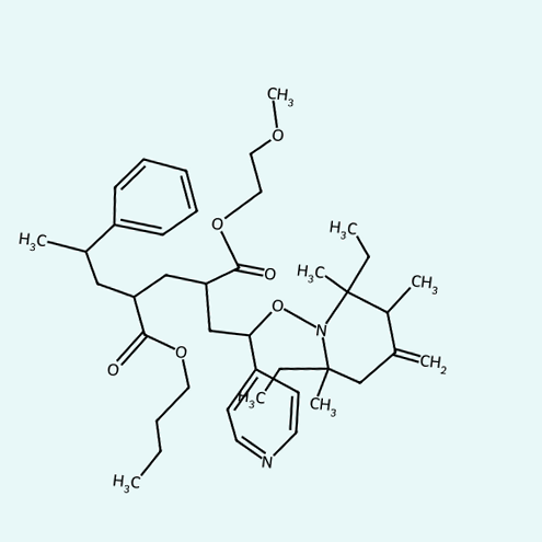 C=C1CC(C)(CC)N(OC(CC(CC(CC(C)c2ccccc2)C(=O)OCCCC)C(=O)OCCOC)c2ccncc2)C(C)(CC)C1C